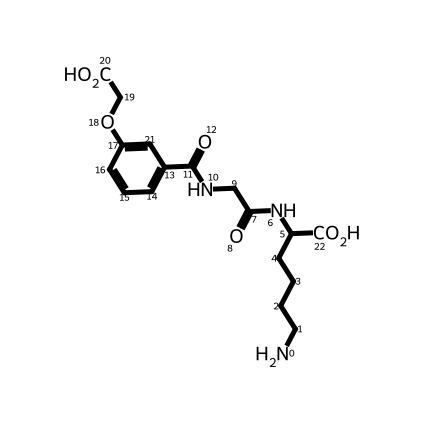 NCCCCC(NC(=O)CNC(=O)c1cccc(OCC(=O)O)c1)C(=O)O